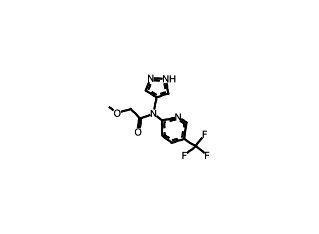 COCC(=O)N(c1cn[nH]c1)c1ccc(C(F)(F)F)cn1